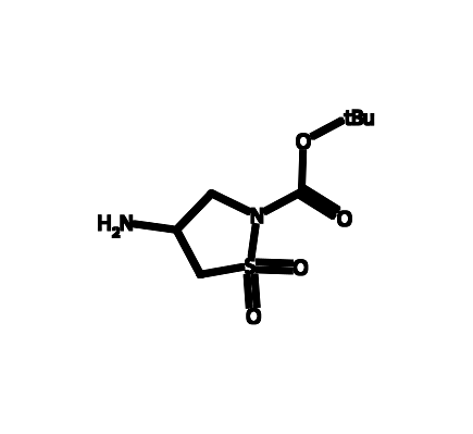 CC(C)(C)OC(=O)N1CC(N)CS1(=O)=O